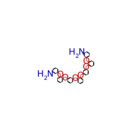 Nc1cccc(Oc2ccccc2Oc2cccc(Oc3ccccc3Oc3cccc(Oc4ccccc4Oc4cccc(N)c4)c3)c2)c1